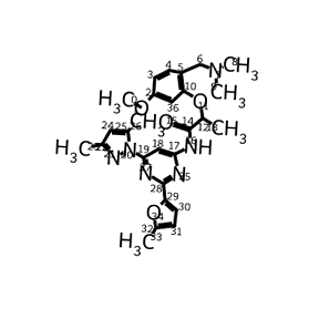 COc1ccc(CN(C)C)c(OC(C)C(=O)Nc2cc(-n3nc(C)cc3C)nc(-c3ccc(C)o3)n2)c1